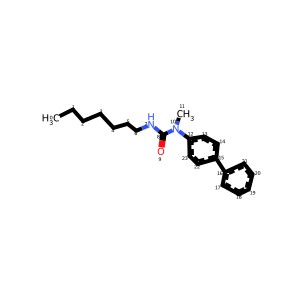 CCCCCCCNC(=O)N(C)c1ccc(-c2ccccc2)cc1